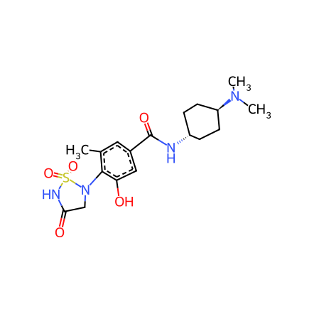 Cc1cc(C(=O)N[C@H]2CC[C@H](N(C)C)CC2)cc(O)c1N1CC(=O)NS1(=O)=O